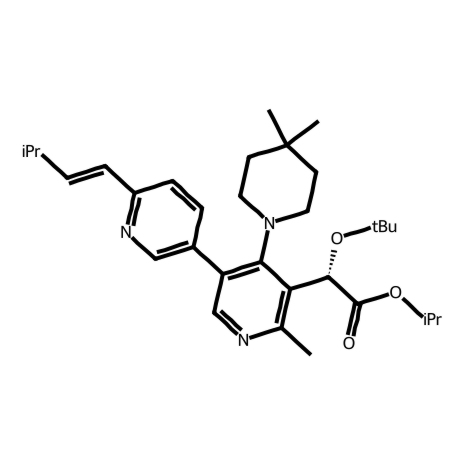 Cc1ncc(-c2ccc(/C=C/C(C)C)nc2)c(N2CCC(C)(C)CC2)c1[C@H](OC(C)(C)C)C(=O)OC(C)C